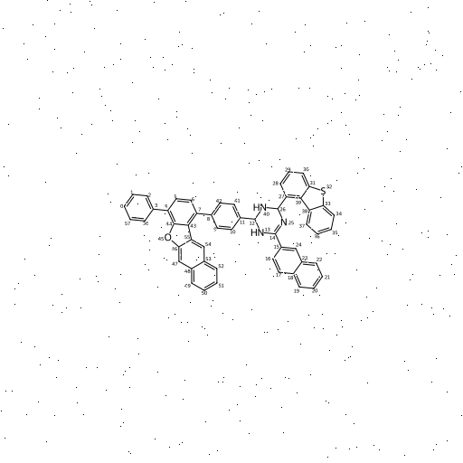 c1ccc(-c2ccc(-c3ccc(C4NC(c5ccc6ccccc6c5)=NC(c5cccc6sc7ccccc7c56)N4)cc3)c3c2oc2cc4ccccc4cc23)cc1